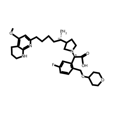 COc1cc(CCCC[C@H](P)C2CCN([C@@H](C(=O)O)c3cc(F)ccc3COC3CCOCC3)C2)nc2c1CCCN2